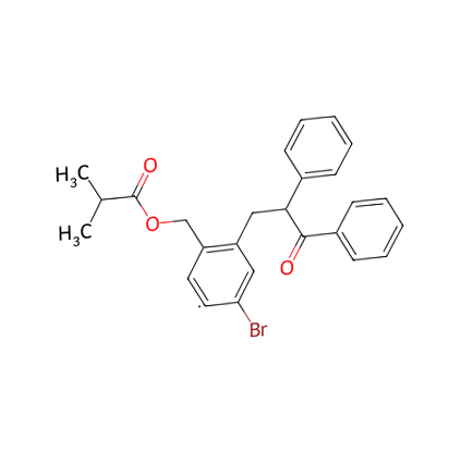 CC(C)C(=O)OCc1c[c]c(Br)cc1CC(C(=O)c1ccccc1)c1ccccc1